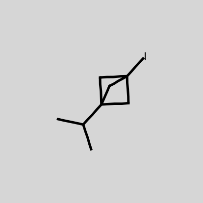 CC(C)C12CC(I)(C1)C2